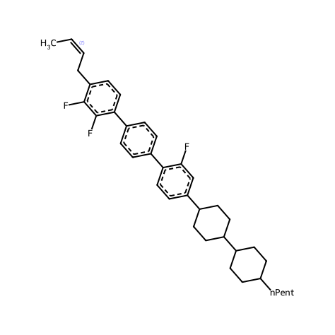 C/C=C\Cc1ccc(-c2ccc(-c3ccc(C4CCC(C5CCC(CCCCC)CC5)CC4)cc3F)cc2)c(F)c1F